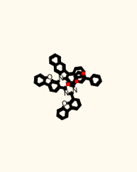 c1ccc(-c2cccc(-c3nc(-c4ccc5c(oc6ccccc65)c4-n4c5cc6ccccc6cc5c5c6ccccc6ccc54)nc(-c4cccc5c4oc4ccccc45)n3)c2)cc1